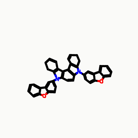 C1=Cc2c(n(-c3ccc4oc5ccccc5c4c3)c3ccc4c(c5c(n4-c4ccc6oc7ccccc7c6c4)CCC=C5)c23)CC1